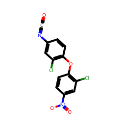 O=C=Nc1ccc(Oc2ccc([N+](=O)[O-])cc2Cl)c(Cl)c1